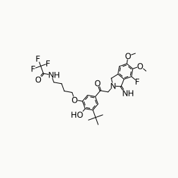 COc1cc2c(c(F)c1OC)C(=N)N(CC(=O)c1cc(OCCCCNC(=O)C(F)(F)F)c(O)c(C(C)(C)C)c1)C2